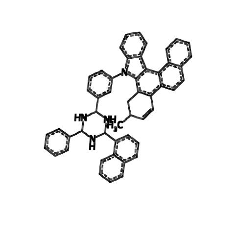 CC1C=Cc2c(c3c(c4ccccc4n3-c3cccc(C4NC(c5ccccc5)NC(c5cccc6ccccc56)N4)c3)c3c2ccc2ccccc23)C1